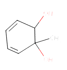 CC1(O)C=CC=CC1O